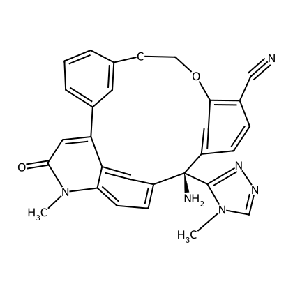 Cn1cnnc1[C@@]1(N)c2ccc(C#N)c(c2)OCCc2cccc(c2)-c2cc(=O)n(C)c3ccc1cc23